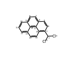 ClC(Cl)c1ccc2ccc3cccc4ccc1c2c34